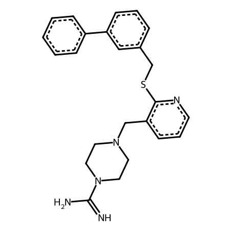 N=C(N)N1CCN(Cc2cccnc2SCc2cccc(-c3ccccc3)c2)CC1